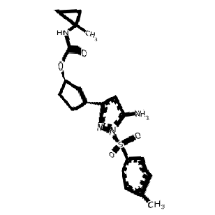 Cc1ccc(S(=O)(=O)n2nc([C@H]3CC[C@@H](OC(=O)NC4(C)CC4)C3)cc2N)cc1